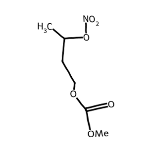 [CH2]OC(=O)OCCC(C)O[N+](=O)[O-]